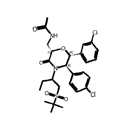 CCC(CS(=O)(=O)C(C)(C)C)N1C(=O)[C@H](CNC(C)=O)O[C@H](c2cccc(Cl)c2)[C@H]1c1ccc(Cl)cc1